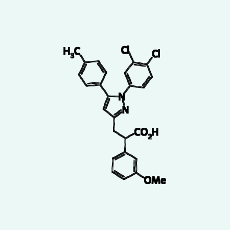 COc1cccc(C(Cc2cc(-c3ccc(C)cc3)n(-c3ccc(Cl)c(Cl)c3)n2)C(=O)O)c1